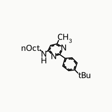 CCCCCCCCNc1cc(C)nc(-c2ccc(C(C)(C)C)cc2)n1